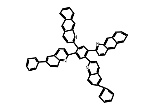 c1ccc(-c2ccc3nc(-c4cc(-c5ccc6cc(-c7ccccc7)ccc6n5)c(-c5ccc6cc7ccccc7cc6n5)cc4-c4ccc5cc6ccccc6cc5n4)ccc3c2)cc1